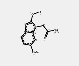 CCOc1nc2ccc(OC)cc2n1CC(N)=O